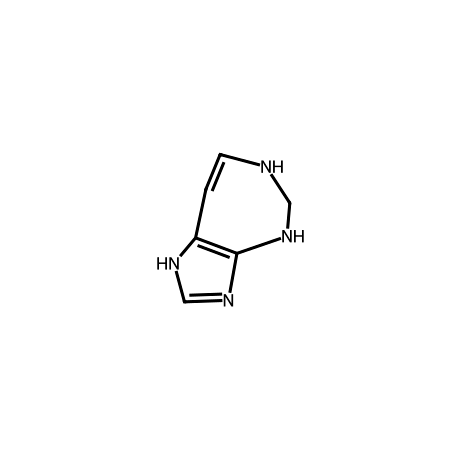 C1=Cc2[nH]cnc2NCN1